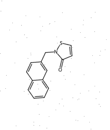 O=c1ccsn1Cc1ccc2ccccc2c1